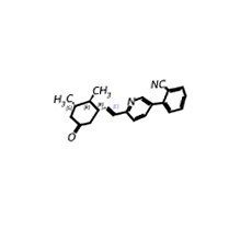 C[C@H]1[C@H](/C=C/c2ccc(-c3ccccc3C#N)cn2)CC(=O)C[C@@H]1C